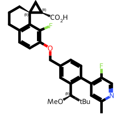 CO[C@@H](c1cc(COc2ccc3c(c2F)[C@]2(CCC3)C[C@H]2C(=O)O)ccc1-c1cc(C)ncc1F)C(C)(C)C